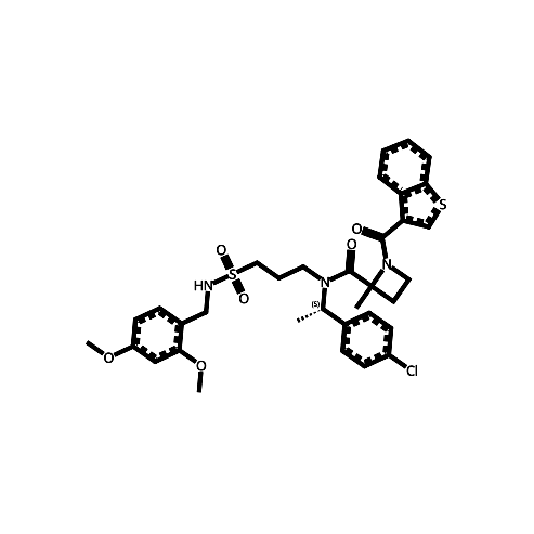 COc1ccc(CNS(=O)(=O)CCCN(C(=O)C2(C)CCN2C(=O)c2csc3ccccc23)[C@@H](C)c2ccc(Cl)cc2)c(OC)c1